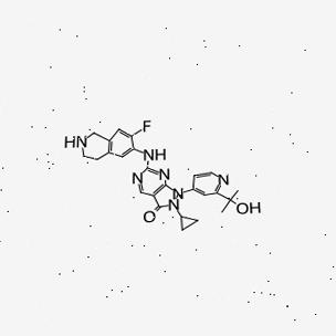 CC(C)(O)c1cc(-n2c3nc(Nc4cc5c(cc4F)CNCC5)ncc3c(=O)n2C2CC2)ccn1